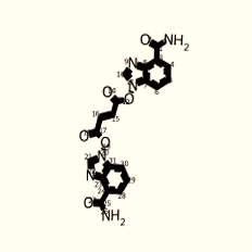 NC(=O)c1cccc2c1ncn2OC(=O)/C=C/C(=O)On1cnc2c(C(N)=O)cccc21